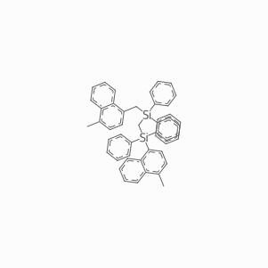 Cc1ccc(C[Si](C[Si](c2ccccc2)(c2ccccc2)c2ccc(C)c3ccccc23)(c2ccccc2)c2ccccc2)c2ccccc12